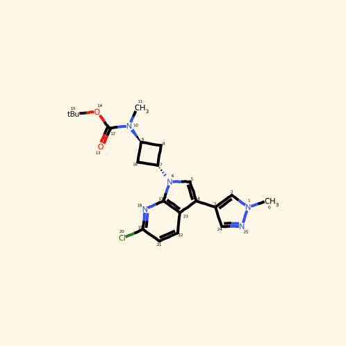 Cn1cc(-c2cn([C@H]3C[C@H](N(C)C(=O)OC(C)(C)C)C3)c3nc(Cl)ccc23)cn1